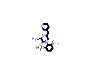 Cc1cccc(C)c1N(CCCc1cccnc1)C(=O)C(C)N